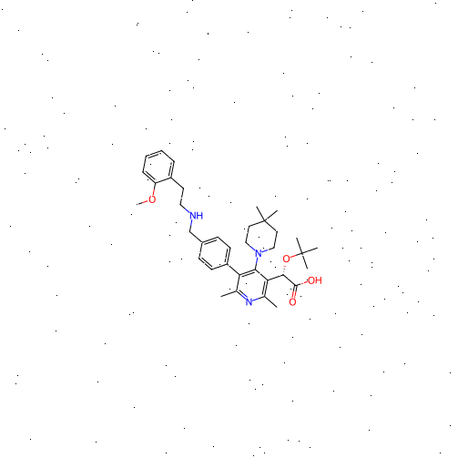 COc1ccccc1CCNCc1ccc(-c2c(C)nc(C)c([C@H](OC(C)(C)C)C(=O)O)c2N2CCC(C)(C)CC2)cc1